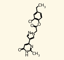 CCc1ccc(OC(=O)Cn2cc(-c3cc(=O)[nH]c(C)n3)cn2)c(Cl)c1